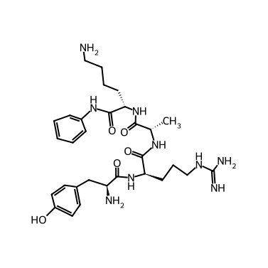 C[C@H](NC(=O)[C@@H](CCCNC(=N)N)NC(=O)[C@@H](N)Cc1ccc(O)cc1)C(=O)N[C@@H](CCCCN)C(=O)Nc1ccccc1